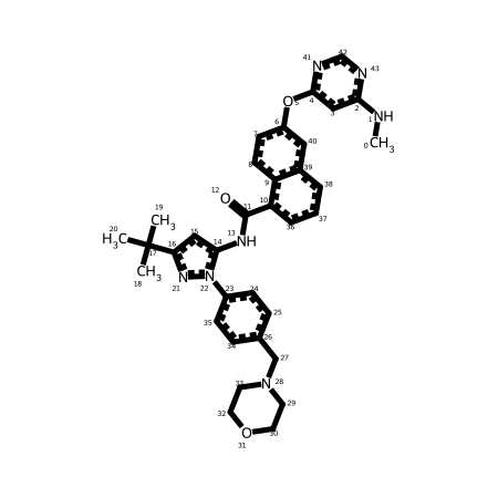 CNc1cc(Oc2ccc3c(C(=O)Nc4cc(C(C)(C)C)nn4-c4ccc(CN5CCOCC5)cc4)cccc3c2)ncn1